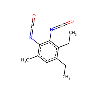 CCc1cc(C)c(N=C=O)c(N=C=O)c1CC